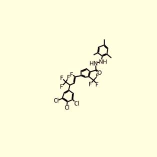 Cc1cc(C)c(NNC(=O)c2ccc(/C(F)=C/C(c3cc(Cl)c(Cl)c(Cl)c3)C(F)(F)F)cc2C(F)(F)F)c(C)c1